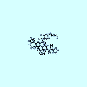 Cc1cc(CN)ccc1NC(=O)c1cc2c(cc1-c1ccc(C(=O)NC3CCCC3)nc1C(=O)O)OCCc1ccsc1-2